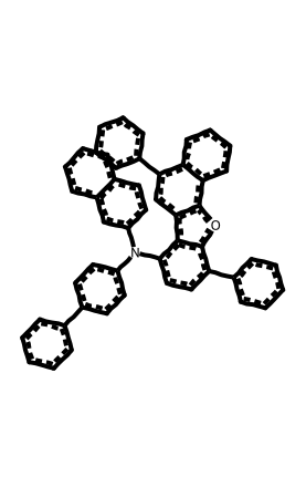 c1ccc(-c2ccc(N(c3ccc4ccccc4c3)c3ccc(-c4ccccc4)c4oc5c6ccccc6c(-c6ccccc6)cc5c34)cc2)cc1